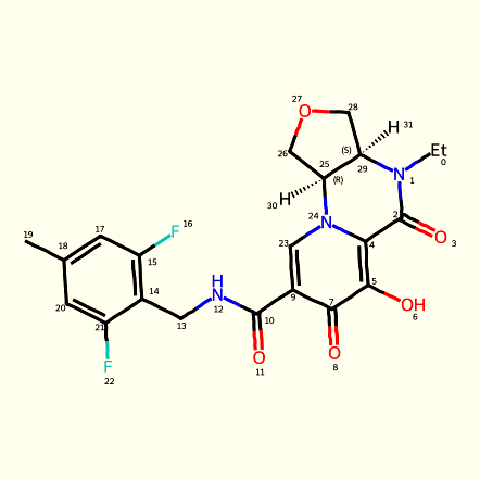 CCN1C(=O)c2c(O)c(=O)c(C(=O)NCc3c(F)cc(C)cc3F)cn2[C@H]2COC[C@H]21